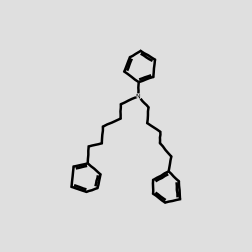 [c]1ccc(N(CCCCCc2ccccc2)CCCCCc2ccccc2)cc1